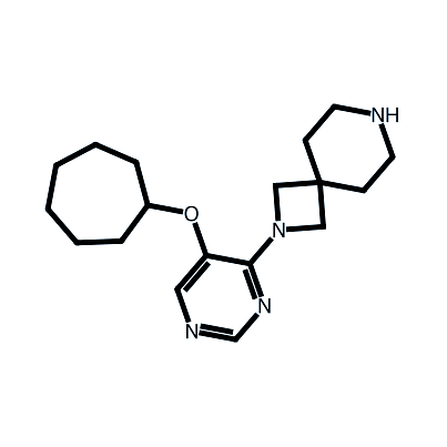 c1ncc(OC2CCCCCC2)c(N2CC3(CCNCC3)C2)n1